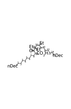 CCCCCCCCCCCCCCCCCCC(C(=O)O)C(=O)C(CC)(CC)CC(CC)CCCCCCCCCCCCCCCC